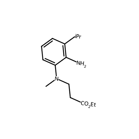 CCOC(=O)CCN(C)c1cccc(C(C)C)c1N